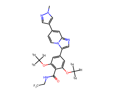 [2H]C([2H])([2H])Oc1cc(-c2cnc3cc(-c4cnn(C)c4)ccn23)cc(OC([2H])([2H])[2H])c1C(=O)NCC(F)(F)F